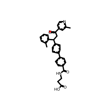 Cc1cc(/C(CC(c2ccc(-c3ccc(C(=O)NCCC(=O)O)cc3)cc2)c2ccccc2C)=N/O)ccn1